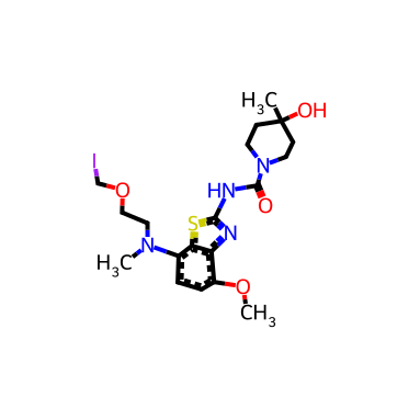 COc1ccc(N(C)CCOCI)c2sc(NC(=O)N3CCC(C)(O)CC3)nc12